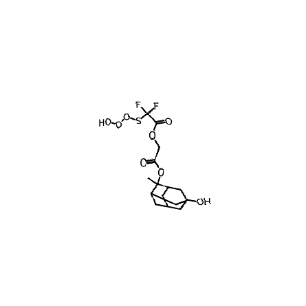 CC1(OC(=O)COC(=O)C(F)(F)SOOO)C2CC3CC1CC(O)(C3)C2